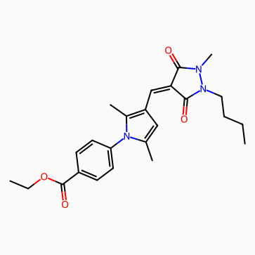 CCCCN1C(=O)/C(=C\c2cc(C)n(-c3ccc(C(=O)OCC)cc3)c2C)C(=O)N1C